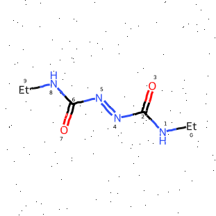 CCNC(=O)/N=N/C(=O)NCC